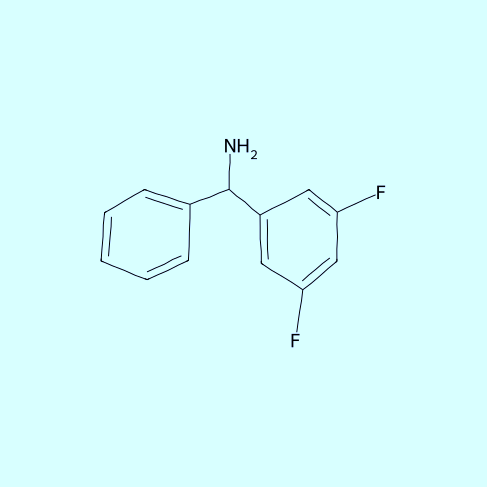 NC(c1ccccc1)c1cc(F)cc(F)c1